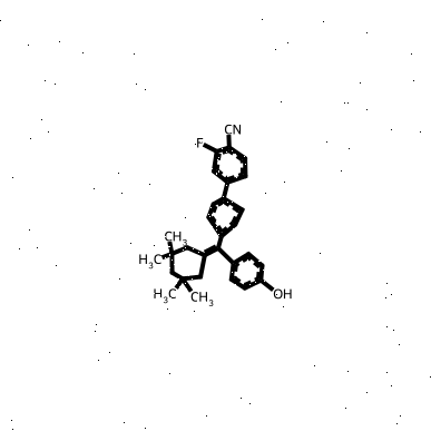 CC1(C)CC(=C(c2ccc(O)cc2)c2ccc(-c3ccc(C#N)c(F)c3)cc2)CC(C)(C)C1